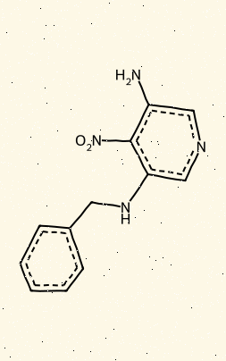 Nc1cncc(NCc2ccccc2)c1[N+](=O)[O-]